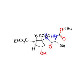 CCOC(=O)[C@H]1[C@H]2[C@@H]1[C@](NC(=O)[C@@H](NC(=O)OC(C)(C)C)[C@@H](C)CC)(C(=O)OCC)C[C@@H]2O